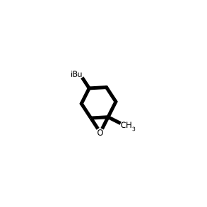 CCC(C)C1CCC2(C)OC2C1